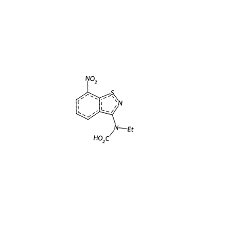 CCN(C(=O)O)c1nsc2c([N+](=O)[O-])cccc12